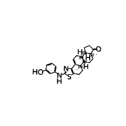 C[C@]12CCc3sc(Nc4cccc(O)c4)nc3C1=CC[C@@H]1[C@@H]2CC[C@]2(C)C(=O)CC[C@@H]12